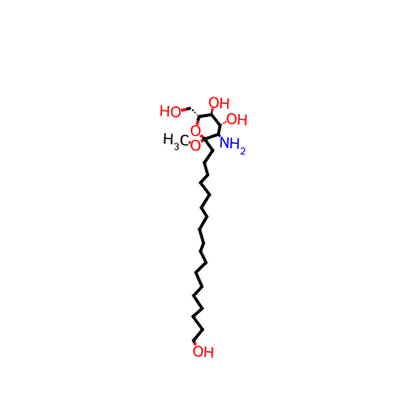 COC1(CCCCCCCCCCCCCCCCCCO)O[C@H](CO)[C@@H](O)[C@H](O)[C@H]1N